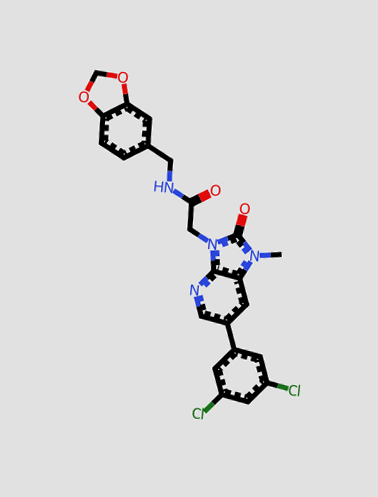 Cn1c(=O)n(CC(=O)NCc2ccc3c(c2)OCO3)c2ncc(-c3cc(Cl)cc(Cl)c3)cc21